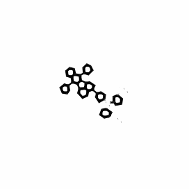 N#Cc1cccc(N(c2ccc(-c3ccc4c5c(cccc35)-c3c-4c(-c4ccccc4)c4ccccc4c3-c3ccccc3)cc2)c2cccc(C#N)c2)c1